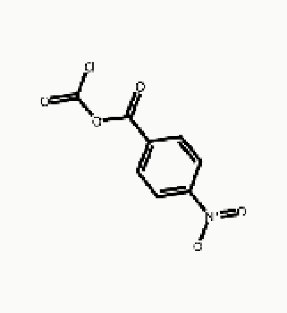 O=C(Cl)OC(=O)c1ccc([N+](=O)[O-])cc1